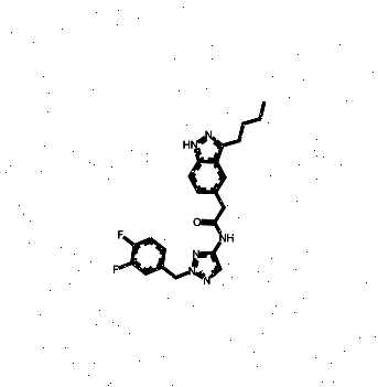 CCCCc1n[nH]c2ccc(CC(=O)Nc3cnn(Cc4ccc(F)c(F)c4)n3)cc12